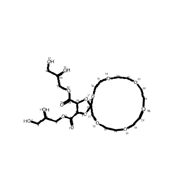 O=C(OCC(O)CO)C1OC2(COCCOCCOCCOCCOCCO2)OC1C(=O)OCC(O)CO